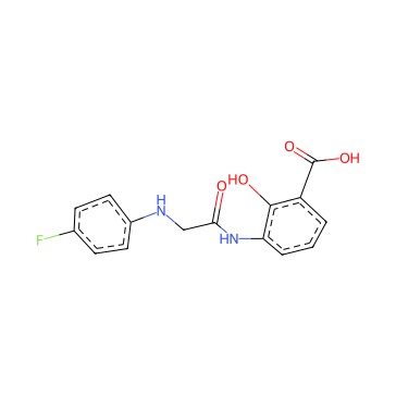 O=C(CNc1ccc(F)cc1)Nc1cccc(C(=O)O)c1O